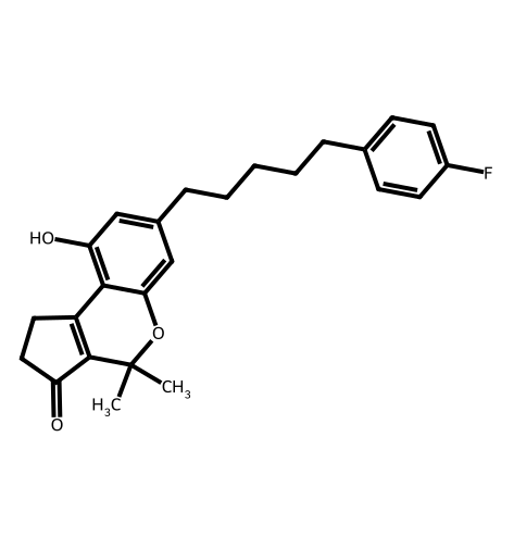 CC1(C)Oc2cc(CCCCCc3ccc(F)cc3)cc(O)c2C2=C1C(=O)CC2